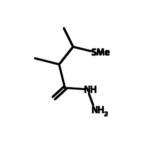 C=C(NN)C(C)C(C)SC